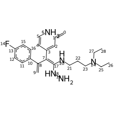 C=C/C=C(\C=C/N)C(/C(=C)c1ccc(F)cc1)=C(/NN)NCCCN(CC)CC